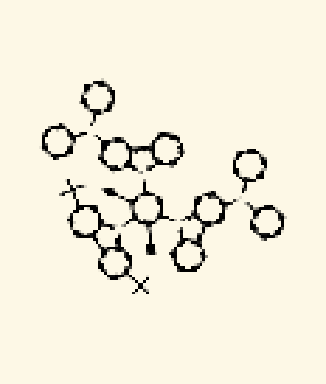 N#Cc1c(-n2c3ccccc3c3cc(N(c4ccccc4)c4ccccc4)ccc32)cc(-n2c3ccccc3c3cc(N(c4ccccc4)c4ccccc4)ccc32)c(C#N)c1-n1c2cc(C(F)(F)F)ccc2c2ccc(C(F)(F)F)cc21